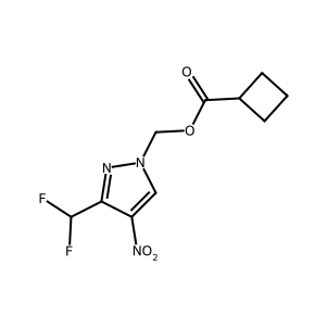 O=C(OCn1cc([N+](=O)[O-])c(C(F)F)n1)C1CCC1